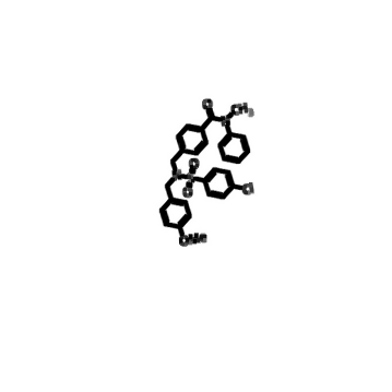 COc1ccc(CN(Cc2ccc(C(=O)N(C)c3ccccc3)cc2)S(=O)(=O)c2ccc(Cl)cc2)cc1